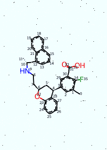 Cc1cc([C@@H]2C[C@H](CCN[C@H](C)c3cccc4ccccc34)Oc3ccccc32)cc(C(=O)O)c1F